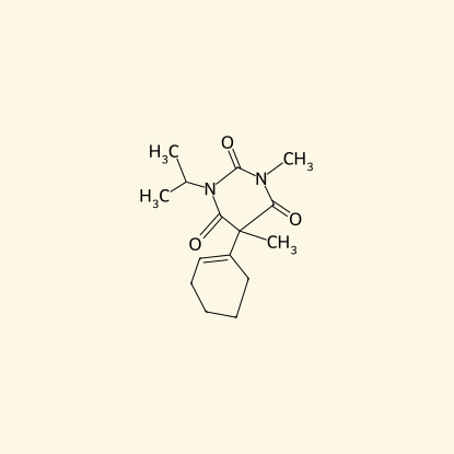 CC(C)N1C(=O)N(C)C(=O)C(C)(C2=CCCCC2)C1=O